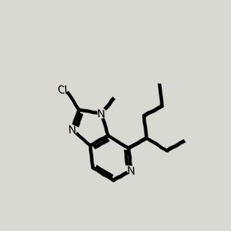 CCCC(CC)c1nccc2nc(Cl)n(C)c12